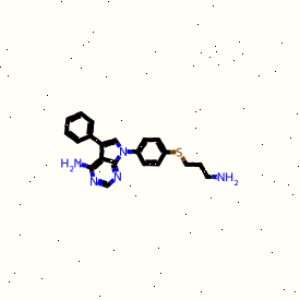 NCCCSc1ccc(-n2cc(-c3ccccc3)c3c(N)ncnc32)cc1